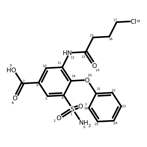 NS(=O)(=O)c1cc(C(=O)O)cc(NC(=O)CCCCl)c1Oc1ccccc1